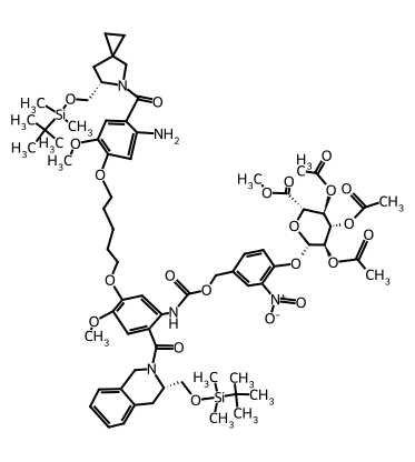 COC(=O)[C@H]1O[C@@H](Oc2ccc(COC(=O)Nc3cc(OCCCCCOc4cc(N)c(C(=O)N5CC6(CC6)C[C@H]5CO[Si](C)(C)C(C)(C)C)cc4OC)c(OC)cc3C(=O)N3Cc4ccccc4C[C@H]3CO[Si](C)(C)C(C)(C)C)cc2[N+](=O)[O-])[C@H](OC(C)=O)[C@@H](OC(C)=O)[C@@H]1OC(C)=O